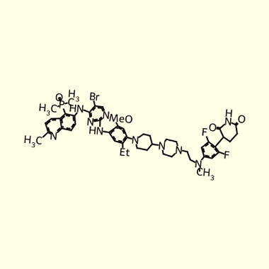 CCc1cc(Nc2ncc(Br)c(Nc3ccc4nc(C)ccc4c3P(C)(C)=O)n2)c(OC)cc1N1CCC(N2CCN(CCN(C)c3cc(F)c(C4CCC(=O)NC4=O)c(F)c3)CC2)CC1